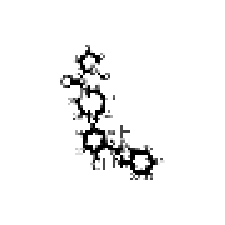 CN1CCC[C@@H]1C(=O)N1CCCN(c2ccc(Cl)c(-c3nc4ccccc4[nH]3)c2)CC1